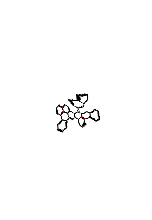 c1ccc(-c2ccccc2-c2cc(-c3ccccc3)c(N(c3ccc4ccccc4c3)c3ccc4ccccc4c3)c3ccccc23)cc1